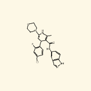 CC1=C(C(=O)Nc2ccc3[nH]ncc3c2)C(c2ccc(Cl)cc2F)N=C(N2CCOCC2)N1